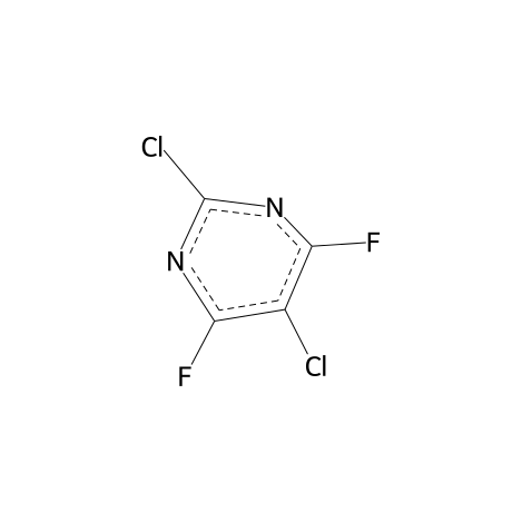 Fc1nc(Cl)nc(F)c1Cl